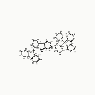 c1ccc(C2(c3ccccc3)c3ccccc3-c3c(-c4ccc5c(c4)oc4c(-n6c7ccccc7c7ccccc76)cccc45)cccc32)cc1